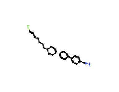 N#Cc1ccc(-c2ccc([C@H]3CC[C@H](CCCCCC=CF)CC3)cc2)cc1